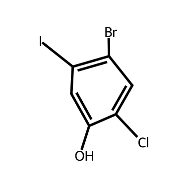 Oc1cc(I)c(Br)cc1Cl